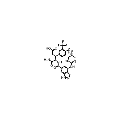 Cc1ccc([C@H](CC(=O)O)C(NC(=O)c2cc(NC3=NCC(F)CN3)c3cn[nH]c3c2)C(N)=O)cc1C(F)(F)F